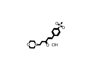 CS(=O)(=O)c1ccc(/C=C/C(=O)CCN2CCOCC2)cc1.Cl